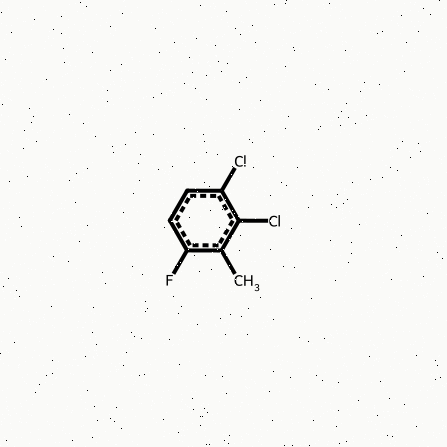 Cc1c(F)ccc(Cl)c1Cl